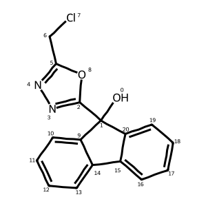 OC1(c2nnc(CCl)o2)c2ccccc2-c2ccccc21